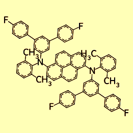 Cc1cccc(C)c1N(c1cc(-c2ccc(F)cc2)cc(-c2ccc(F)cc2)c1)c1ccc2ccc3c(N(c4cc(-c5ccc(F)cc5)cc(-c5ccc(F)cc5)c4)c4c(C)cccc4C)ccc4ccc1c2c43